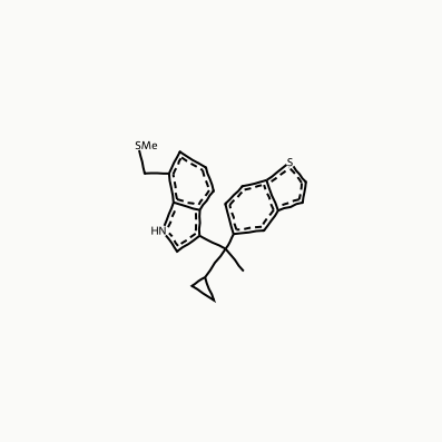 CSCc1cccc2c(C(C)(c3ccc4sccc4c3)C3CC3)c[nH]c12